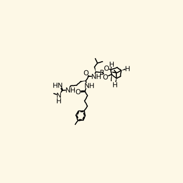 CNC(=N)NCCC[C@H](NC(=O)CCCc1ccc(C)cc1)C(=O)N[C@@H](CC(C)C)B1O[C@@H]2C[C@@H]3C[C@@H](C3(C)C)[C@]2(C)O1